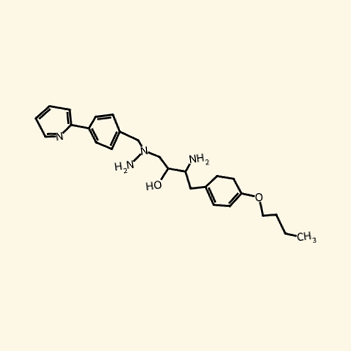 CCCCOC1=CC=C(CC(N)C(O)CN(N)Cc2ccc(-c3ccccn3)cc2)CC1